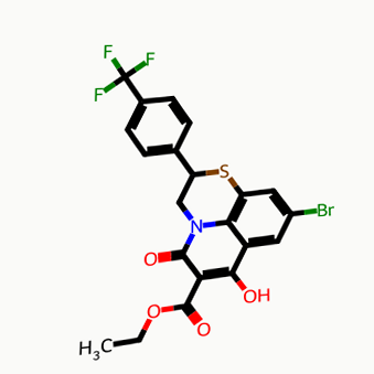 CCOC(=O)c1c(O)c2cc(Br)cc3c2n(c1=O)CC(c1ccc(C(F)(F)F)cc1)S3